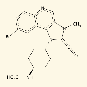 CN1C(=C=O)N([C@H]2CC[C@H](NC(=O)O)CC2)c2c1cnc1ccc(Br)cc21